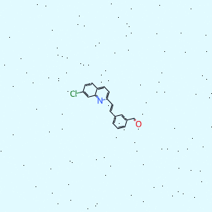 O=Cc1cccc(C=Cc2ccc3ccc(Cl)cc3n2)c1